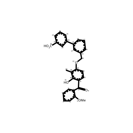 COc1ccccc1C(=O)c1ccc(OCc2cccc(-c3cccc(C(=O)O)c3)c2)c(C)c1O